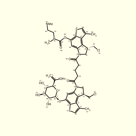 C=C(O)[C@H]1O[C@@H](Oc2cc3c(c4c(C)csc24)[C@H](CCl)CN3C(=O)CCCC(=O)N2C[C@@H](CCl)c3c2cc(OC(=O)N(C)CCNC)c2scc(C)c32)[C@H](O)[C@@H](O)[C@@H]1O